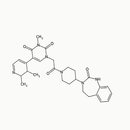 CC1N=CC=C(c2cn(CC(=O)N3CCC(N4CCc5ccccc5NC4=O)CC3)c(=O)n(C)c2=O)C1C